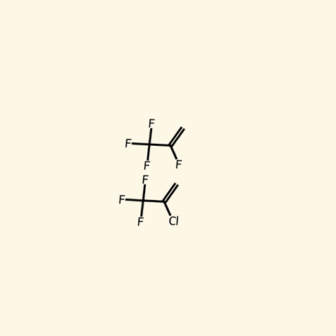 C=C(Cl)C(F)(F)F.C=C(F)C(F)(F)F